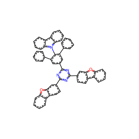 c1ccc(-c2cc(-c3nc(-c4ccc5c(c4)oc4ccccc45)nc(-c4ccc5c(c4)oc4ccccc45)n3)cc(-c3ccccc3)c2-n2c3ccccc3c3ccccc32)cc1